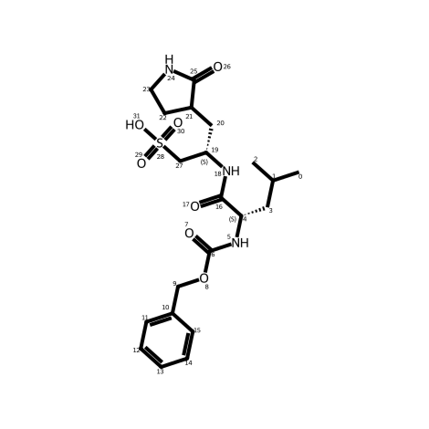 CC(C)C[C@H](NC(=O)OCc1ccccc1)C(=O)N[C@@H](CC1CCNC1=O)CS(=O)(=O)O